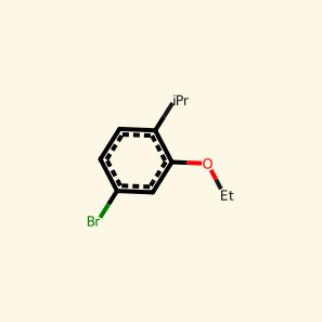 CCOc1cc(Br)ccc1C(C)C